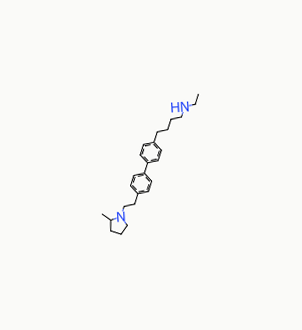 CCNCCCCc1ccc(-c2ccc(CCN3CCCC3C)cc2)cc1